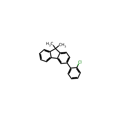 CC1(C)c2ccccc2-c2cc(-c3ccccc3Cl)ccc21